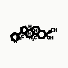 C#C[C@]1(O)CC[C@@]2(C)C(CC[C@@H]3[C@@H]2CC[C@]2(C)C(c4cccnc4)=CC[C@@H]32)C1